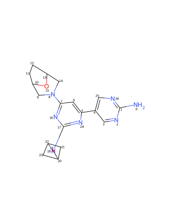 Nc1ncc(-c2cc(N3CC4CCC(C3)O4)nc(N3CC4CC3C4)n2)cn1